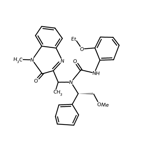 CCOc1ccccc1NC(=O)N(C(C)c1nc2ccccc2n(C)c1=O)[C@H](COC)c1ccccc1